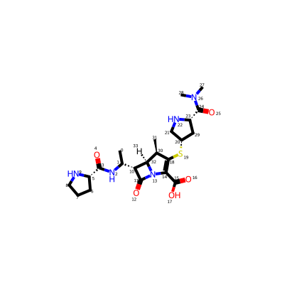 CC(NC(=O)[C@@H]1CCCN1)[C@H]1C(=O)N2C(C(=O)O)=C(S[C@@H]3CN[C@H](C(=O)N(C)C)C3)[C@H](C)[C@H]12